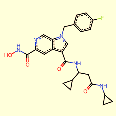 O=C(CC(NC(=O)c1cn(Cc2ccc(F)cc2)c2cnc(C(=O)NO)cc12)C1CC1)NC1CC1